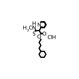 CNC(=S)C(C(=O)OCCCCC1CCCCC1)c1ccccn1.Cl